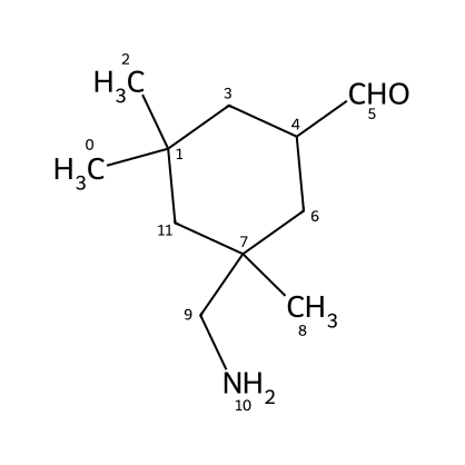 CC1(C)CC(C=O)CC(C)(CN)C1